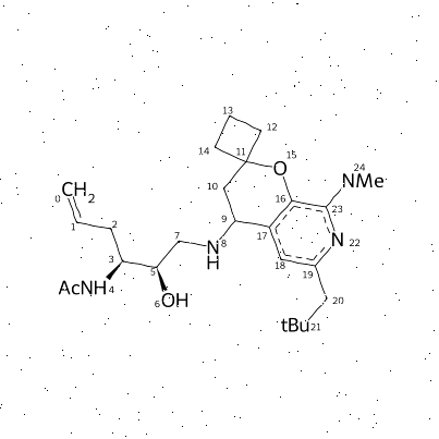 C=CC[C@H](NC(C)=O)[C@H](O)CNC1CC2(CCC2)Oc2c1cc(CC(C)(C)C)nc2NC